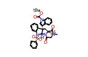 CN1C(=O)[C@@]23C[C@]4(c5cn(C(=O)OC(C)(C)C)c6ccccc56)c5ccccc5N(S(=O)(=O)c5ccccc5)[C@H]4N2C(=O)C1[S@]3=S